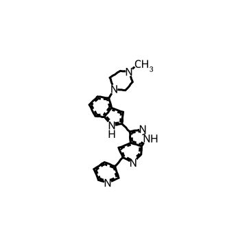 CN1CCN(c2cccc3[nH]c(-c4n[nH]c5cnc(-c6cccnc6)cc45)cc23)CC1